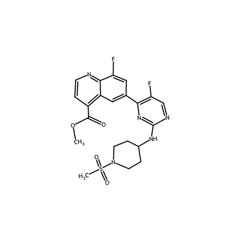 COC(=O)c1ccnc2c(F)cc(-c3nc(NC4CCN(S(C)(=O)=O)CC4)ncc3F)cc12